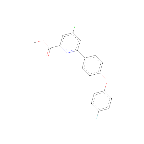 COC(=O)c1cc(Cl)cc(-c2ccc(Oc3ccc(F)cc3)cc2)n1